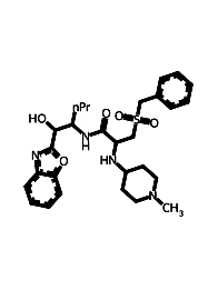 CCCC(NC(=O)C(CS(=O)(=O)Cc1ccccc1)NC1CCN(C)CC1)C(O)c1nc2ccccc2o1